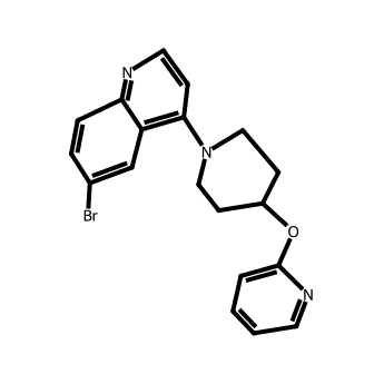 Brc1ccc2nccc(N3CCC(Oc4ccccn4)CC3)c2c1